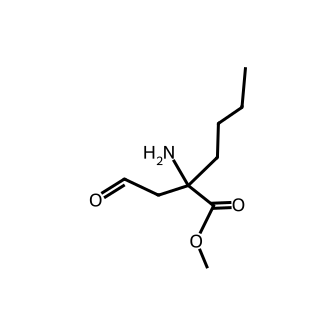 CCCCC(N)(CC=O)C(=O)OC